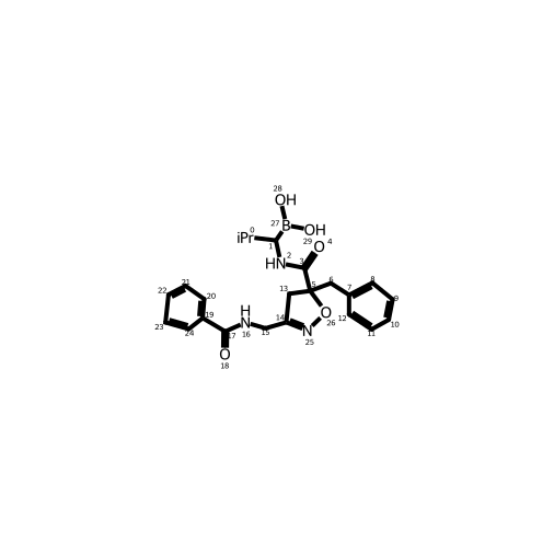 CC(C)C(NC(=O)C1(Cc2ccccc2)CC(CNC(=O)c2ccccc2)=NO1)B(O)O